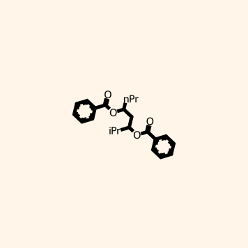 CCCC(CC(OC(=O)c1ccccc1)C(C)C)OC(=O)c1ccccc1